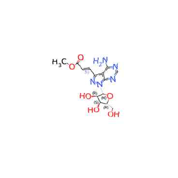 COC(=O)/C=C/c1nn([C@@H]2O[C@H](CO)[C@@H](O)[C@H]2O)c2ncnc(N)c12